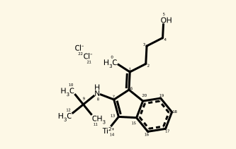 CC(CCCO)=C1C(NC(C)(C)C)=[C]([Ti+2])c2ccccc21.[Cl-].[Cl-]